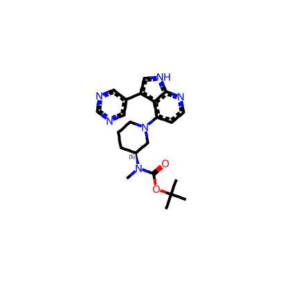 CN(C(=O)OC(C)(C)C)[C@H]1CCCN(c2ccnc3[nH]cc(-c4cncnc4)c23)C1